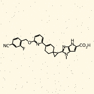 Cn1c(C2CC23CC=C(c2cccc(OCc4ccc(C#N)cc4F)n2)CC3)nc2[nH]c(C(=O)O)cc21